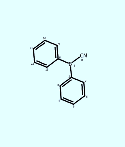 N#CB(c1ccccc1)c1ccccc1